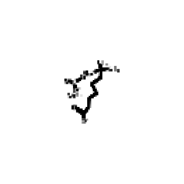 CC(C)(C)CCCCCC(=O)[O-].[Nb+4].[O-]B([O-])[O-]